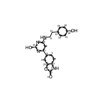 O=c1[nH]c2ccc(-c3cc(NCCc4ccc(O)cc4)nc(O)n3)cc2o1